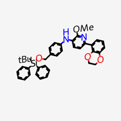 COc1nc(-c2cccc3c2OCCO3)ccc1Nc1ccc(CO[Si](c2ccccc2)(c2ccccc2)C(C)(C)C)cc1